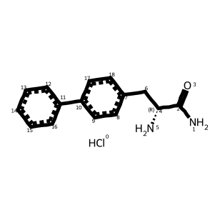 Cl.NC(=O)[C@H](N)Cc1ccc(-c2ccccc2)cc1